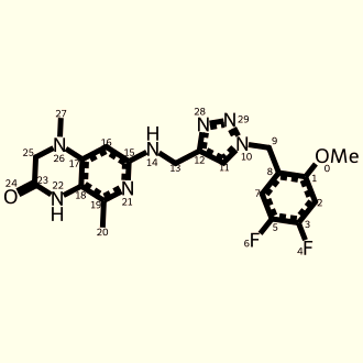 COc1cc(F)c(F)cc1Cn1cc(CNc2cc3c(c(C)n2)NC(=O)CN3C)nn1